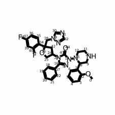 COc1ccccc1C1CNCCN1n1nc(-c2ccccc2)n(C2COC(Cn3cncn3)(c3ccc(F)cc3F)C2)c1=O